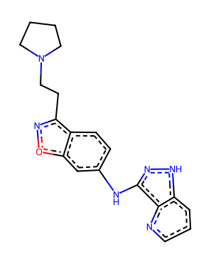 c1cnc2c(Nc3ccc4c(CCN5CCCC5)noc4c3)n[nH]c2c1